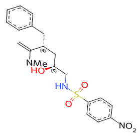 C=C(NC)[C@H](Cc1ccccc1)C[C@H](O)CNS(=O)(=O)c1ccc([N+](=O)[O-])cc1